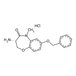 CN1C(=O)[C@@H](N)COc2ccc(OCc3ccccc3)cc21.Cl